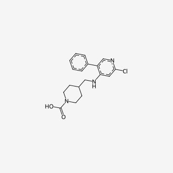 O=C(O)N1CCC(CNc2cc(Cl)ncc2-c2ccccc2)CC1